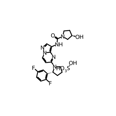 O=C(Nc1cnn2ccc(N3CCC[C@@H]3c3cc(F)ccc3F)nc12)N1CC[C@@H](O)C1.O=S(=O)(O)O